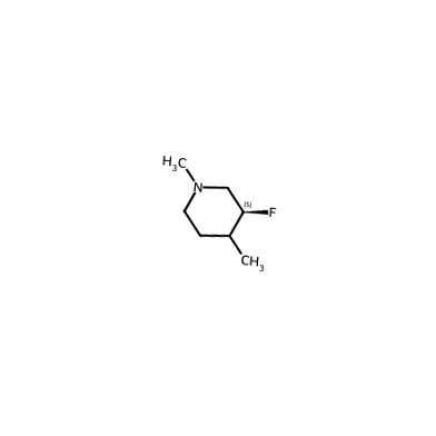 CC1CCN(C)C[C@H]1F